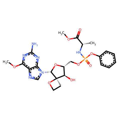 COC(=O)[C@H](C)NP(=O)(OC[C@H]1O[C@@H](n2cnc3c(OC)nc(N)nc32)[C@@]2(CCO2)[C@@H]1O)Oc1ccccc1